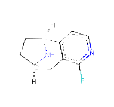 Fc1nccc2c1C[C@H]1CC[C@@H]2N1